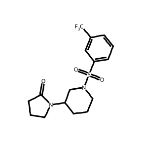 O=C1CCCN1C1CCCN(S(=O)(=O)c2cccc(C(F)(F)F)c2)C1